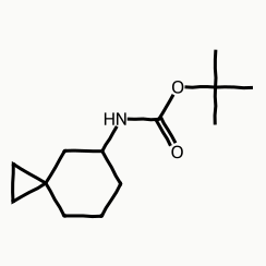 CC(C)(C)OC(=O)NC1CCCC2(CC2)C1